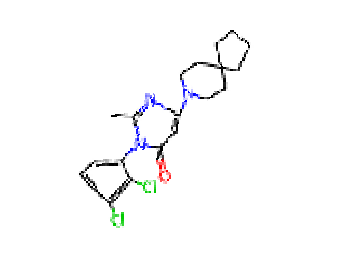 Cc1nc(N2CCC3(CCCC3)CC2)cc(=O)n1-c1cccc(Cl)c1Cl